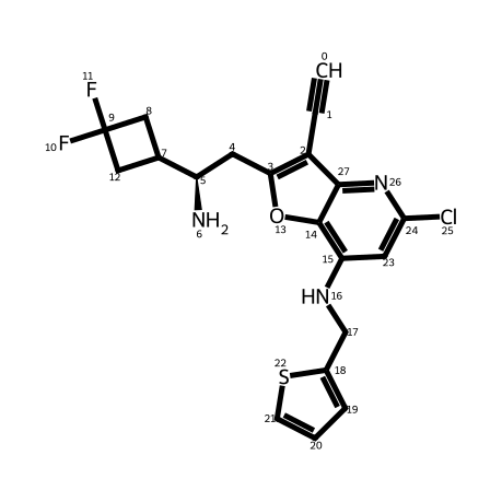 C#Cc1c(C[C@@H](N)C2CC(F)(F)C2)oc2c(NCc3cccs3)cc(Cl)nc12